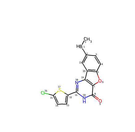 CBc1ccc2oc3c(=O)[nH]c(-c4ccc(Cl)s4)nc3c2c1